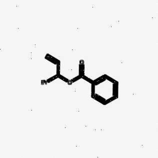 C=CC(OC(=O)c1ccccc1)C(C)C